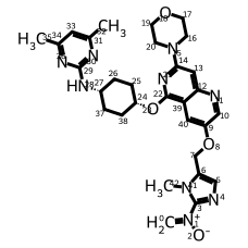 C=[N+]([O-])c1ncc(COc2cnc3cc(N4CCOCC4)nc(O[C@H]4CC[C@@H](Nc5nc(C)cc(C)n5)CC4)c3c2)n1C